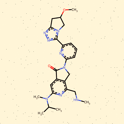 CNCc1nc(N(C)C(C)C)cc2c1CN(c1cccc(-c3nnc4n3CC(OC)C4)n1)C2=O